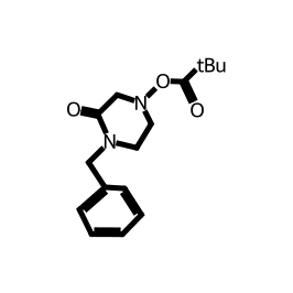 CC(C)(C)C(=O)ON1CCN(Cc2ccccc2)C(=O)C1